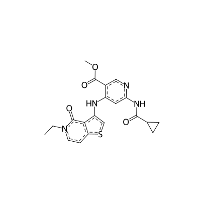 CCn1ccc2scc(Nc3cc(NC(=O)C4CC4)ncc3C(=O)OC)c2c1=O